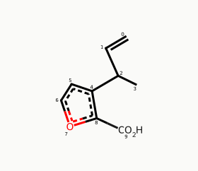 C=CC(C)c1ccoc1C(=O)O